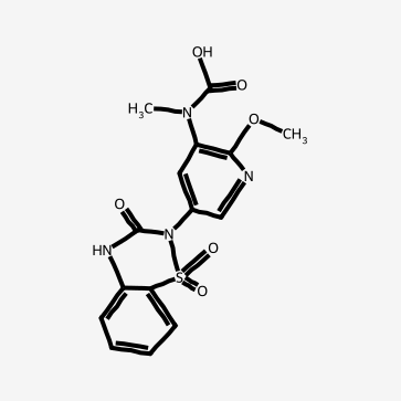 COc1ncc(N2C(=O)Nc3ccccc3S2(=O)=O)cc1N(C)C(=O)O